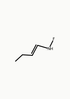 CCC=CNF